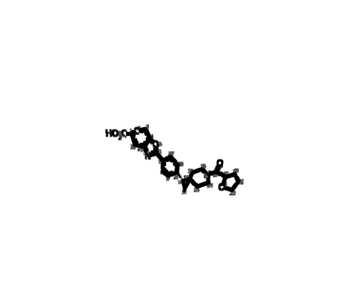 O=C(O)c1ccc2oc(-c3ccc([C@H]4CC45CCN(C(=O)C4CCCO4)CC5)cc3)nc2c1